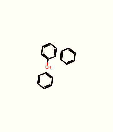 Oc1ccccc1.c1ccccc1.c1ccccc1